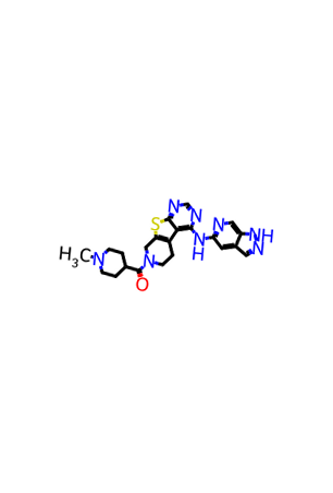 CN1CCC(C(=O)N2CCc3c(sc4ncnc(Nc5cc6cn[nH]c6cn5)c34)C2)CC1